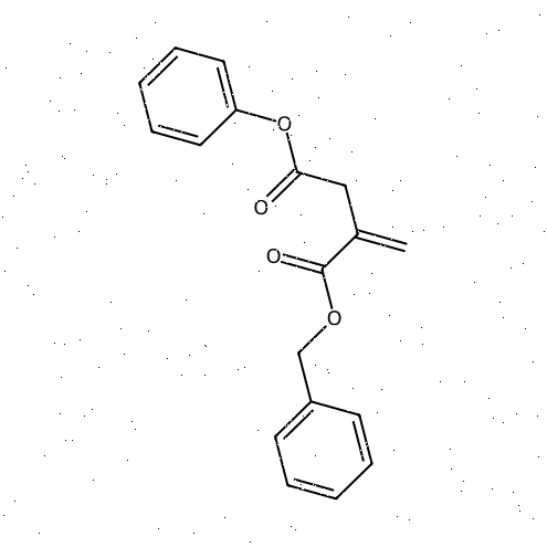 C=C(CC(=O)Oc1ccccc1)C(=O)OCc1ccccc1